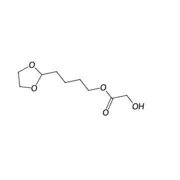 O=C(CO)OCCCCC1OCCO1